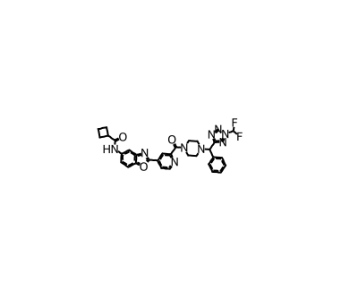 O=C(Nc1ccc2oc(-c3ccnc(C(=O)N4CCN(C(c5ccccc5)c5nnn(C(F)F)n5)CC4)c3)nc2c1)C1CCC1